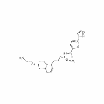 CCCN[C@H]1CCc2c(CCCC(NC(=O)c3ccc(-n4ccnn4)cc3)OC)cccc2C1